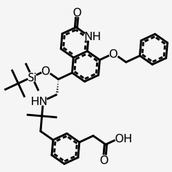 CC(C)(Cc1cccc(CC(=O)O)c1)NC[C@H](O[Si](C)(C)C(C)(C)C)c1ccc(OCc2ccccc2)c2[nH]c(=O)ccc12